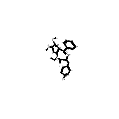 CCN1C(=O)C(Cc2ccc(Br)cc2)N=C(c2ccccc2)c2cc(OC)c(OC)cc21